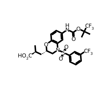 C[C@@H](C[C@H]1CN(S(=O)(=O)c2cccc(C(F)(F)F)c2)c2cc(NC(=O)OC(C)(C)C(F)(F)F)ccc2O1)C(=O)O